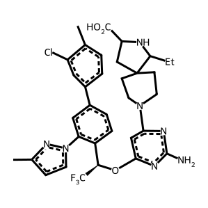 CCC1NC(C(=O)O)CC12CCN(c1cc(O[C@H](c3ccc(-c4ccc(C)c(Cl)c4)cc3-n3ccc(C)n3)C(F)(F)F)nc(N)n1)CC2